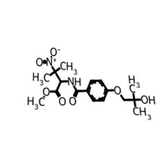 COC(=O)C(NC(=O)c1ccc(OCC(C)(C)O)cc1)C(C)(C)[N+](=O)[O-]